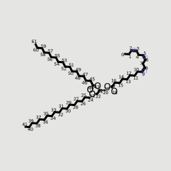 CC/C=C\C/C=C\C/C=C\CCCCCCCC(=O)OC[C@@H](COCCCCCCCCCCCCCCCCCC)OC(=O)CCCCCCCCCCCCCCCCC